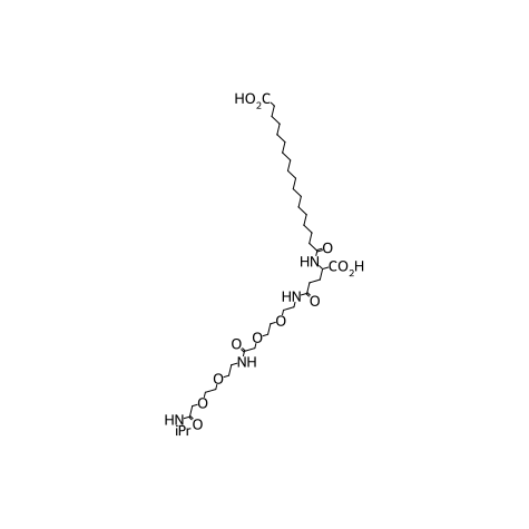 CC(C)NC(=O)COCCOCCNC(=O)COCCOCCNC(=O)CCC(NC(=O)CCCCCCCCCCCCCCCCC(=O)O)C(=O)O